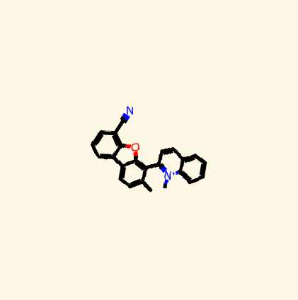 Cc1ccc2c(oc3c(C#N)cccc32)c1-c1ccc2ccccc2[n+]1C